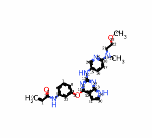 C=CC(=O)Nc1cccc(Oc2nc(Nc3ccc(N(C)CCOC)nc3)nc3[nH]ccc23)c1